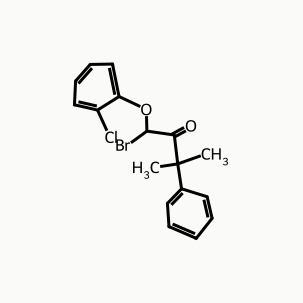 CC(C)(C(=O)C(Br)Oc1ccccc1Cl)c1ccccc1